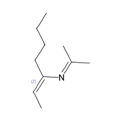 C/C=C(/CCCC)N=C(C)C